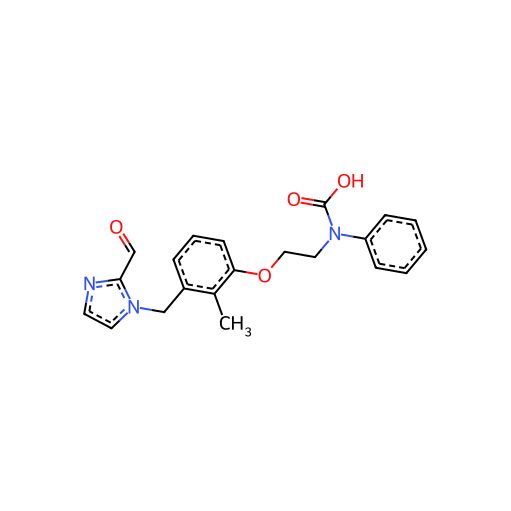 Cc1c(Cn2ccnc2C=O)cccc1OCCN(C(=O)O)c1ccccc1